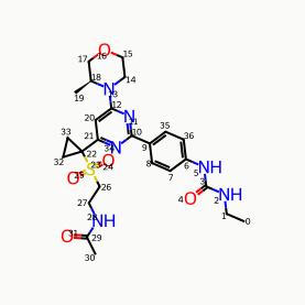 CCNC(=O)Nc1ccc(-c2nc(N3CCOC[C@@H]3C)cc(C3(S(=O)(=O)CCNC(C)=O)CC3)n2)cc1